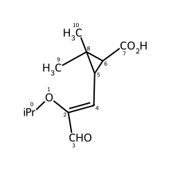 CC(C)OC(C=O)=CC1C(C(=O)O)C1(C)C